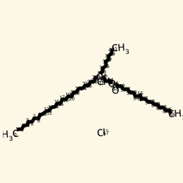 CCCCCCCCCCCCCCCCCCCCCCCCCCCCCC[N+](C)(CCCCCCCCCC)CCCOCC(=O)CCCCCCCCCCCCCCCCCC.[Cl-]